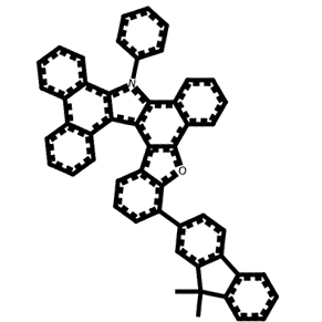 CC1(C)c2ccccc2-c2ccc(-c3cccc4c3oc3c5ccccc5c5c(c43)c3c4ccccc4c4ccccc4c3n5-c3ccccc3)cc21